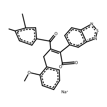 COc1ccccc1C/C(C(=O)c1ccc(C)c(C)c1)=C(\C(=O)[O-])c1ccc2nsnc2c1.[Na+]